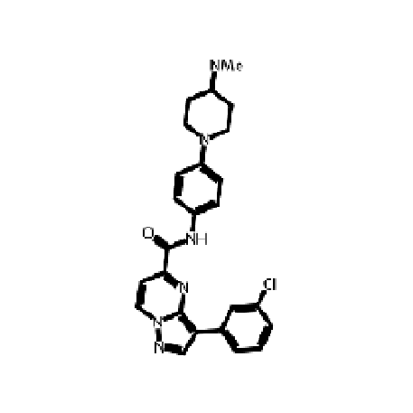 CNC1CCN(c2ccc(NC(=O)c3ccn4ncc(-c5cccc(Cl)c5)c4n3)cc2)CC1